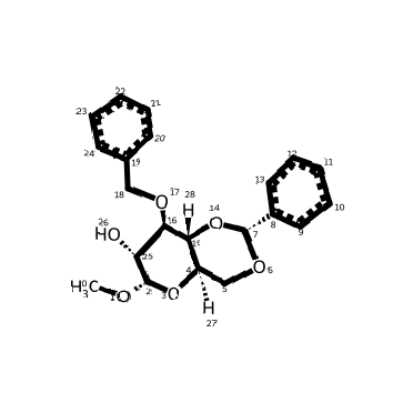 CO[C@H]1O[C@@H]2CO[C@@H](c3ccccc3)O[C@H]2[C@H](OCc2ccccc2)[C@H]1O